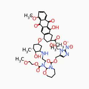 COCCOC(=O)N(CCNC1C[C@H](O[C@H]2C[C@](O)(C(C)=O)Cc3c2cc2c(c3O)C(=O)c3cccc(OC)c3C2=O)C[C@@H](C)C1O)C1OCCCCN1C(=O)OCc1cnc([N+](=O)[O-])n1C